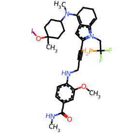 CNC(=O)c1ccc(NCC#Cc2cc3c(n2CC(F)(F)P)=CCCC=3N(C)C2CCC(C)(OI)CC2)c(OC)c1